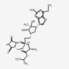 COc1nc(N)nc2c1ncn2[C@@H]1O[C@H](CO[P@](=O)(N[C@@H](C)C(=O)OC(C)C)SC[C@H]2NC(=O)NC2=O)[C@@H](O)[C@@]1(C)O